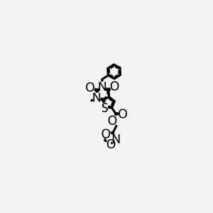 Cn1c(=O)n(Cc2ccccc2)c(=O)c2cc(C(=O)OCC3=NOCO3)sc21